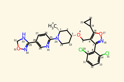 C[C@@H]1C[C@H](OCc2c(-c3c(Cl)cccc3Cl)noc2C2CC2)CCN1c1ccc(C2=NOCN2)cn1